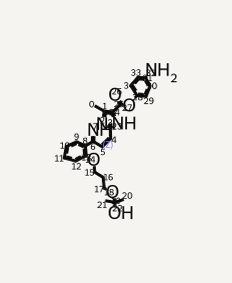 Cc1nc(/C=C\C(=N)c2ccccc2OCCCOC(C)(C)O)[nH]c1C(=O)Oc1ccc(N)cc1